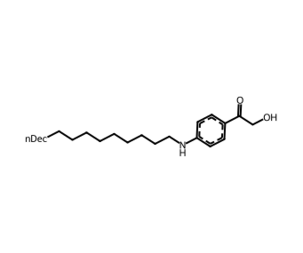 CCCCCCCCCCCCCCCCCCCNc1ccc(C(=O)CO)cc1